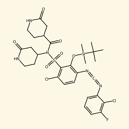 CC(C)(C)[Si](C)(C)Oc1c(N=C=Nc2cccc(F)c2Cl)ccc(Cl)c1S(=O)(=O)N(C(=O)C1CCNC(=O)C1)C1CCNC(=O)C1